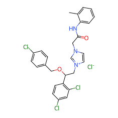 Cc1ccccc1NC(=O)Cn1cc[n+](CC(OCc2ccc(Cl)cc2)c2ccc(Cl)cc2Cl)c1.[Cl-]